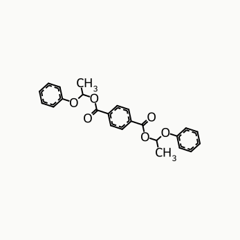 CC(OC(=O)c1ccc(C(=O)OC(C)Oc2ccccc2)cc1)Oc1ccccc1